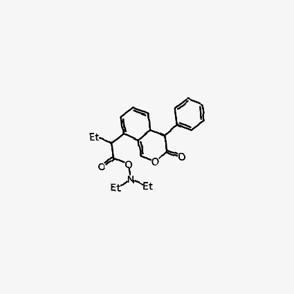 CCC(C(=O)ON(CC)CC)C1=CC=CC2C1=COC(=O)C2c1ccccc1